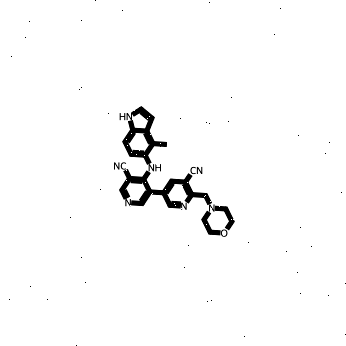 Cc1c(Nc2c(C#N)cncc2-c2cnc(CN3CCOCC3)c(C#N)c2)ccc2[nH]ccc12